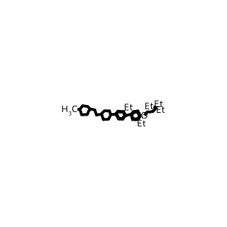 CCc1cc(-c2ccc(C3CCC(CCC4CCC(C)CC4)CC3)cc2)c(CC)cc1OCCC(CC)(CC)CC